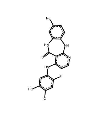 N#Cc1ccc2c(c1)NC(=O)c1c(Nc3cc(O)c(Cl)cc3F)ccnc1N2